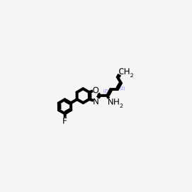 C=C/C=C\C=C(/N)c1nc2c(o1)CCC(c1cccc(F)c1)C2